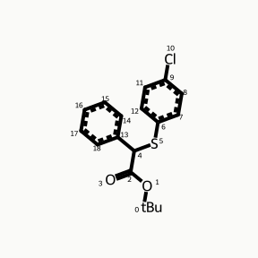 CC(C)(C)OC(=O)C(Sc1ccc(Cl)cc1)c1ccccc1